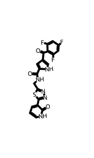 O=C(NCc1nnc(-c2ccc[nH]c2=O)s1)c1cc(C(=O)c2c(F)cc(F)cc2F)c[nH]1